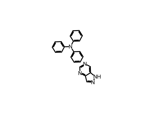 c1ccc(N(c2ccccc2)c2ccccc2)cc1.c1ncc2[nH]ncc2n1